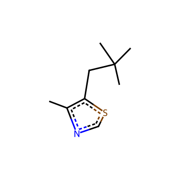 Cc1ncsc1CC(C)(C)C